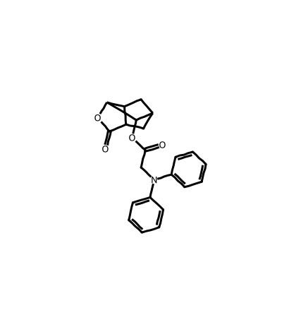 O=C(CN(c1ccccc1)c1ccccc1)OC1C2CC3C(=O)OC1C3C2